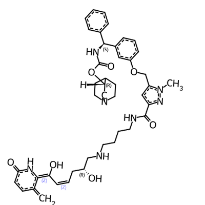 C=c1ccc(=O)[nH]/c1=C(O)/C=C\C[C@@H](O)CNCCCCNC(=O)c1cc(COc2cccc([C@@H](NC(=O)O[C@H]3CN4CCC3CC4)c3ccccc3)c2)n(C)n1